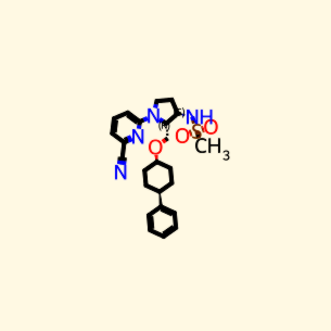 CS(=O)(=O)N[C@H]1CCN(c2cccc(C#N)n2)[C@H]1CO[C@H]1CC[C@@H](c2ccccc2)CC1